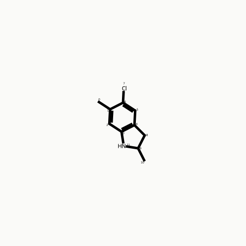 Cc1cc2c(cc1Cl)CC(C)N2